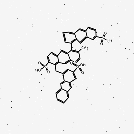 Cc1ccc2cc3c(Cc4cc(S(=O)(=O)O)cc5cc6ccccc6cc45)c(S(=O)(=O)O)ccc3cc2c1-c1cccc2cc3ccc(S(=O)(=O)O)cc3cc12